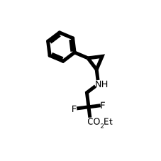 CCOC(=O)C(F)(F)CNC1CC1c1ccccc1